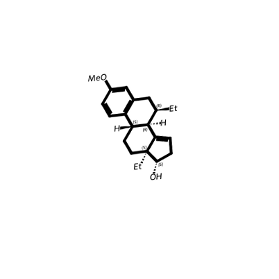 CC[C@@H]1Cc2cc(OC)ccc2[C@H]2CC[C@@]3(CC)C(=CC[C@@H]3O)[C@H]12